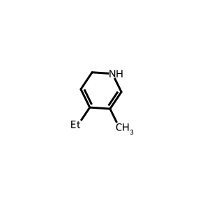 CCC1=CCNC=C1C